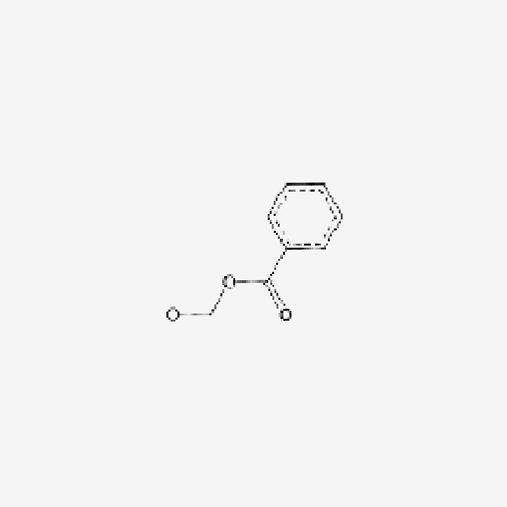 [O]COC(=O)c1ccccc1